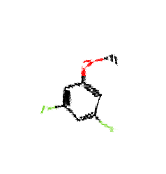 [CH2]CCOc1cc(F)cc(F)c1